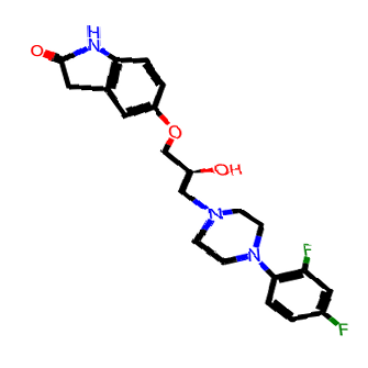 O=C1Cc2cc(OC[C@@H](O)CN3CCN(c4ccc(F)cc4F)CC3)ccc2N1